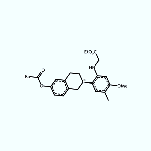 CCOC(=O)CNc1cc(OC)c(C)cc1[C@@H]1CCc2cc(OC(=O)C(C)(C)C)ccc2C1